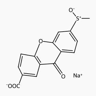 C[S+]([O-])c1ccc2c(=O)c3cc(C(=O)[O-])ccc3oc2c1.[Na+]